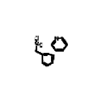 [Cl][Mg][CH2]c1ccccc1.c1ccncc1